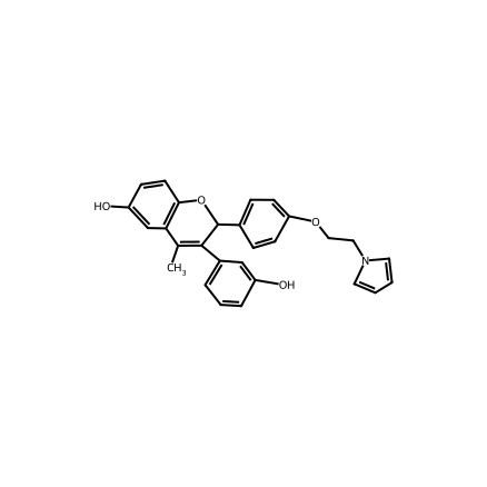 CC1=C(c2cccc(O)c2)C(c2ccc(OCCn3cccc3)cc2)Oc2ccc(O)cc21